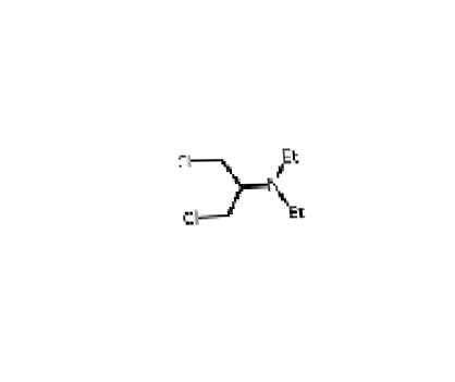 CCN(CC)C(CCl)CCl